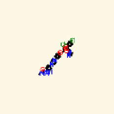 CCNC(=O)Nc1ccc(N2CCN(c3ccc(OCC4COC(Cn5ccnc5)(c5ccc(Cl)cc5Cl)O4)cc3)CC2)cc1